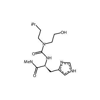 CNC(=O)[C@H](Cc1c[nH]cn1)NC(=O)N(CCO)CCC(C)C